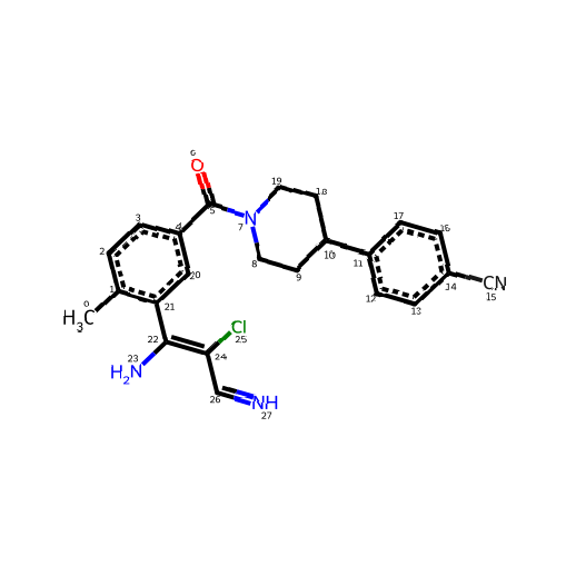 Cc1ccc(C(=O)N2CCC(c3ccc(C#N)cc3)CC2)cc1/C(N)=C(\Cl)C=N